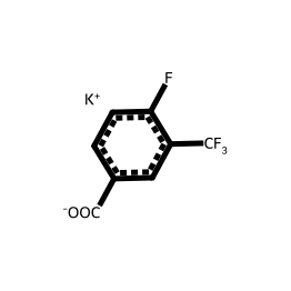 O=C([O-])c1ccc(F)c(C(F)(F)F)c1.[K+]